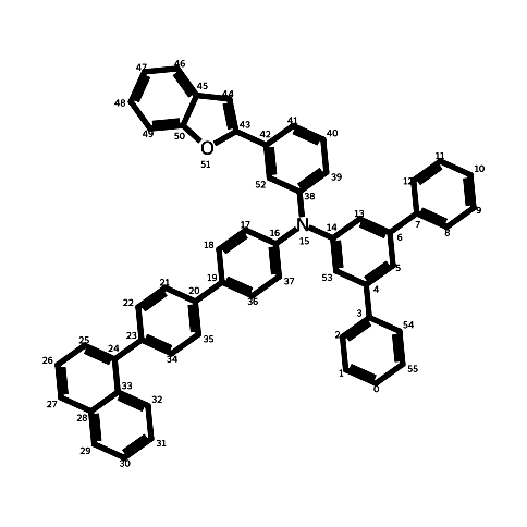 c1ccc(-c2cc(-c3ccccc3)cc(N(c3ccc(-c4ccc(-c5cccc6ccccc56)cc4)cc3)c3cccc(-c4cc5ccccc5o4)c3)c2)cc1